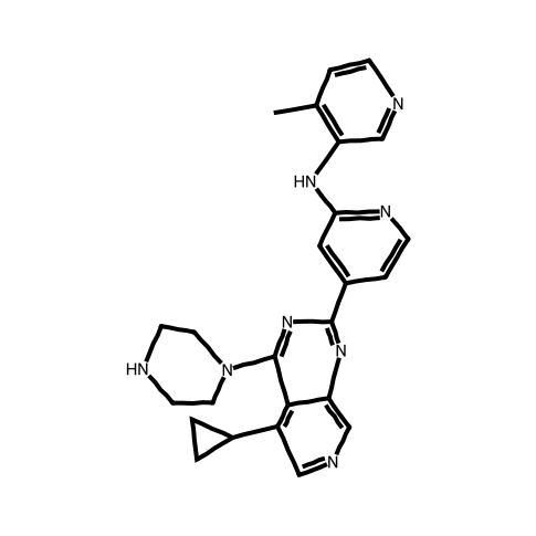 Cc1ccncc1Nc1cc(-c2nc(N3CCNCC3)c3c(C4CC4)cncc3n2)ccn1